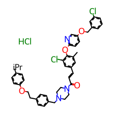 Cc1cc(C=CC(=O)N2CCN(Cc3ccc(CCOc4ccc(C(C)C)cc4)cc3)CC2)cc(Cl)c1Oc1ccc(OCc2cccc(Cl)c2)cn1.Cl